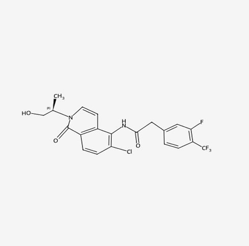 C[C@H](CO)n1ccc2c(NC(=O)Cc3ccc(C(F)(F)F)c(F)c3)c(Cl)ccc2c1=O